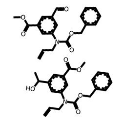 C=CCN(C(=O)OCc1ccccc1)c1cc(C(=O)OC)cc(C(C)O)c1.C=CCN(C(=O)OCc1ccccc1)c1cc(C=O)cc(C(=O)OC)c1